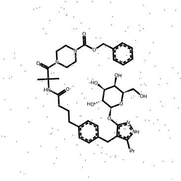 CC(C)c1[nH]nc(O[C@@H]2O[C@H](CO)[C@H](O)[C@H](O)[C@H]2O)c1Cc1ccc(CCCC(=O)NC(C)(C)C(=O)N2CCN(C(=O)OCc3ccccc3)CC2)cc1